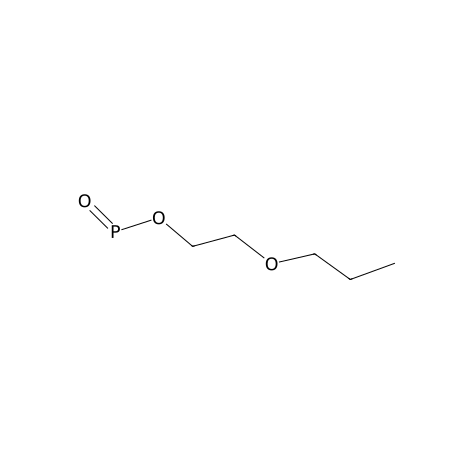 CCCOCCOP=O